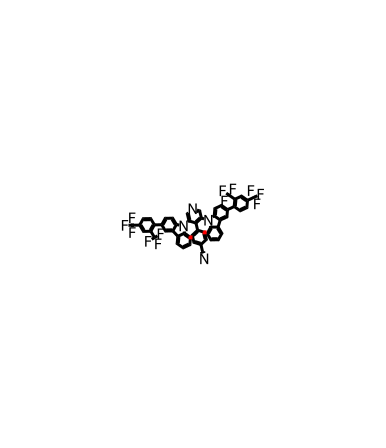 N#Cc1ccc(-c2c(-n3c4ccccc4c4cc(-c5ccc(C(F)(F)F)cc5C(F)(F)F)ccc43)cncc2-n2c3ccccc3c3cc(-c4ccc(C(F)(F)F)cc4C(F)(F)F)ccc32)cc1